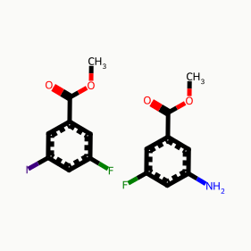 COC(=O)c1cc(F)cc(I)c1.COC(=O)c1cc(N)cc(F)c1